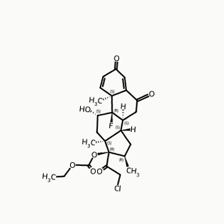 CCOC(=O)O[C@]1(C(=O)CCl)[C@H](C)C[C@H]2[C@@H]3CC(=O)C4=CC(=O)C=C[C@]4(C)[C@@]3(F)[C@@H](O)C[C@@]21C